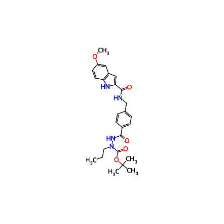 CCCN(NC(=O)c1ccc(CNC(=O)c2cc3cc(OC)ccc3[nH]2)cc1)C(=O)OC(C)(C)C